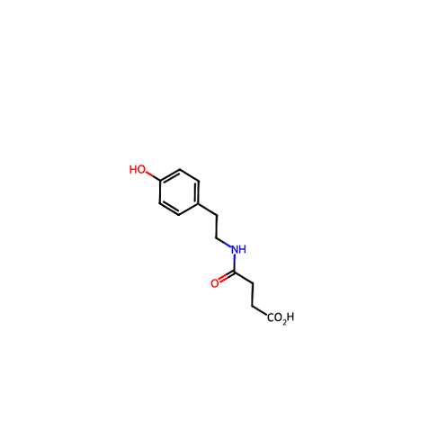 O=C(O)CCC(=O)NCCc1ccc(O)cc1